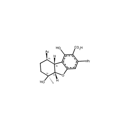 CCCc1cc2c(c(O)c1C(=O)O)[C@H]1[C@H](C(C)=O)CC[C@](C)(O)[C@H]1O2